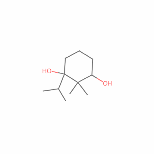 CC(C)C1(O)CCCC(O)C1(C)C